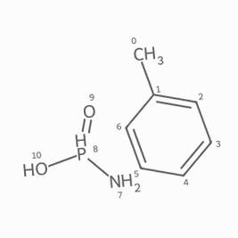 Cc1ccccc1.N[PH](=O)O